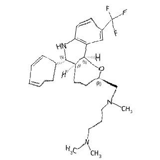 CN(C)CCCN(C)C[C@H]1CC[C@@H]2[C@H](O1)c1cc(C(F)(F)F)ccc1N[C@H]2C1C=CC=CC1